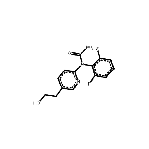 NC(=O)N(c1ccc(CCO)cn1)c1c(F)cccc1F